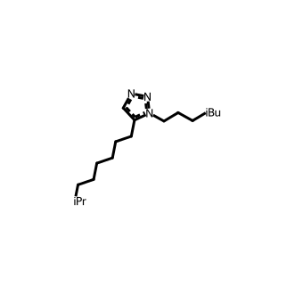 CCC(C)CCCn1nncc1CCCCCCC(C)C